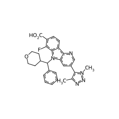 Cc1nnn(C)c1-c1cnc2c3ccc(C(=O)O)c(F)c3n(C(c3ccccc3)C3CCOCC3)c2c1